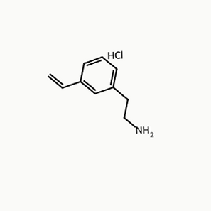 C=Cc1cccc(CCN)c1.Cl